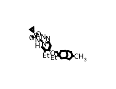 CCc1cn2c(NS(=O)(=O)C3CC3)nnc2cc1OCC1(CC)CC2CC(C)CC(C2)C1